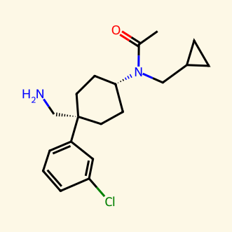 CC(=O)N(CC1CC1)[C@H]1CC[C@](CN)(c2cccc(Cl)c2)CC1